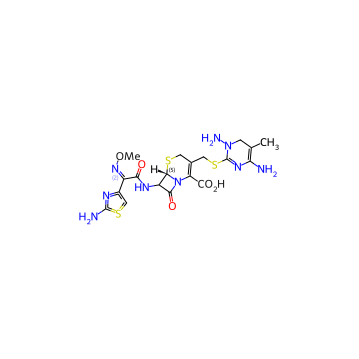 CO/N=C(\C(=O)NC1C(=O)N2C(C(=O)O)=C(CSC3=NC(N)=C(C)CN3N)CS[C@@H]12)c1csc(N)n1